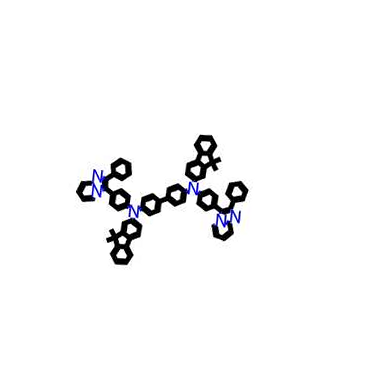 CC1(C)c2ccccc2-c2ccc(N(c3ccc(-c4ccc(N(c5ccc(-c6c(-c7ccccc7)nc7ccccn67)cc5)c5ccc6c(c5)C(C)(C)c5ccccc5-6)cc4)cc3)c3ccc(-c4c(-c5ccccc5)nc5ccccn45)cc3)cc21